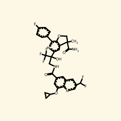 CC1(C(N)=O)COc2c1cc(C(O)(CNC(=O)c1cc(OC3CC3)c3ncc(C(F)F)cc3c1)C(F)(F)F)nc2-c1ccc(F)cc1